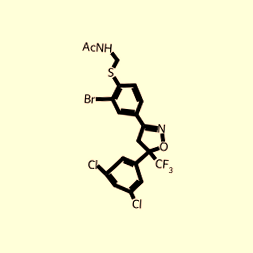 CC(=O)NCSc1ccc(C2=NOC(c3cc(Cl)cc(Cl)c3)(C(F)(F)F)C2)cc1Br